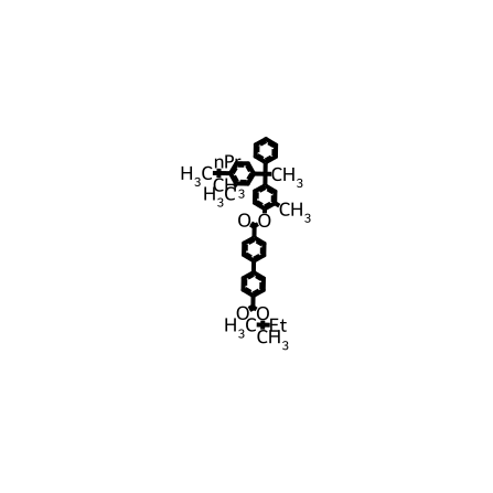 CCCC(C)(C)c1ccc(C(C)(c2ccccc2)c2ccc(OC(=O)c3ccc(-c4ccc(C(=O)OC(C)(C)CC)cc4)cc3)c(C)c2)cc1C